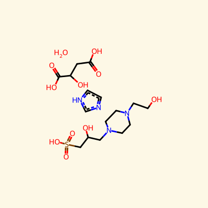 O.O=C(O)CC(O)C(=O)O.O=S(=O)(O)CC(O)CN1CCN(CCO)CC1.c1c[nH]cn1